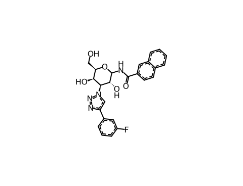 O=C(NC1O[C@H](CO)[C@H](O)[C@H](n2cc(-c3cccc(F)c3)nn2)[C@H]1O)c1ccc2ccccc2c1